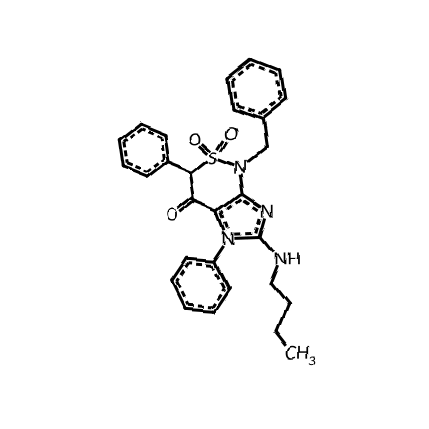 CCCCNc1nc2c(n1-c1ccccc1)C(=O)C(c1ccccc1)S(=O)(=O)N2Cc1ccccc1